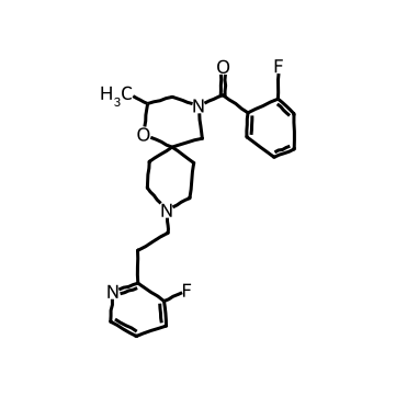 CC1CN(C(=O)c2ccccc2F)CC2(CCN(CCc3ncccc3F)CC2)O1